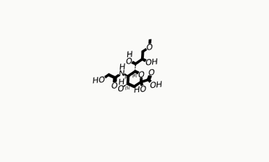 COCC(O)C(O)[C@@H]1OC(O)(C(=O)O)C[C@H](O)[C@H]1NC(=O)CO